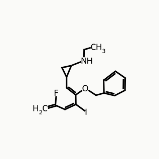 C=C(F)/C=C(I)\C(=C\C1CC1NCC)OCc1ccccc1